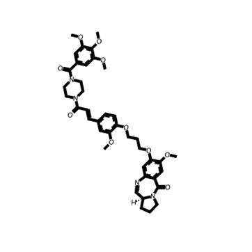 COc1cc(C=CC(=O)N2CCN(C(=O)c3cc(OC)c(OC)c(OC)c3)CC2)ccc1OCCCOc1cc2c(cc1OC)C(=O)N1CCC[C@H]1C=N2